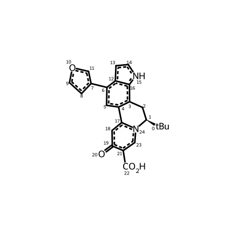 CC(C)(C)[C@@H]1Cc2c(cc(-c3ccoc3)c3cc[nH]c23)-c2cc(=O)c(C(=O)O)cn21